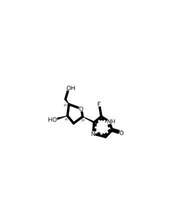 O=c1cnc([C@H]2C[C@@H](O)[C@@H](CO)O2)c(F)[nH]1